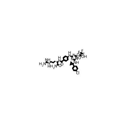 N=C(N)NCCC[C@H](NC(=O)c1ccc(Nc2nc(NC3(c4ccc(Cl)cc4)CC3)nc(OC(O)(O)C(F)(F)F)n2)cc1)C(N)=O